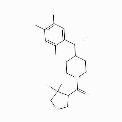 N[C@@H](c1cc(Cl)c(Cl)cc1O)C1CCN(C(=O)C2CNCC2(F)F)CC1